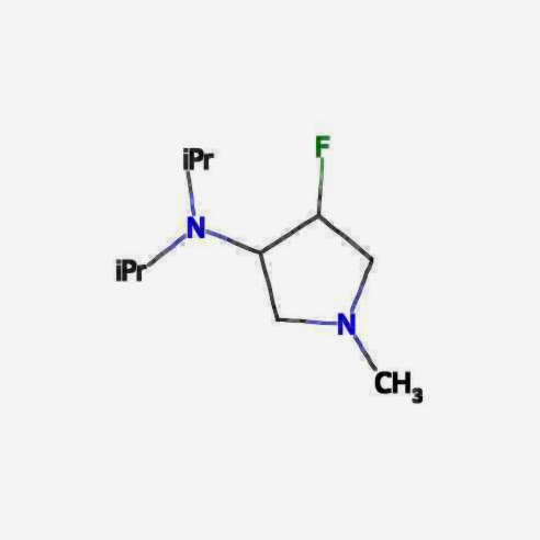 CC(C)N(C(C)C)C1CN(C)CC1F